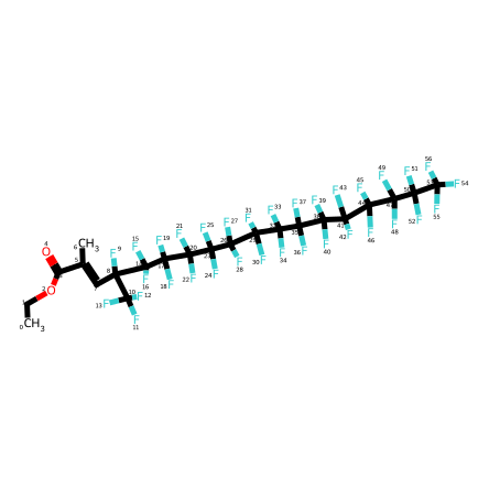 CCOC(=O)C(C)=CC(F)(C(F)(F)F)C(F)(F)C(F)(F)C(F)(F)C(F)(F)C(F)(F)C(F)(F)C(F)(F)C(F)(F)C(F)(F)C(F)(F)C(F)(F)C(F)(F)C(F)(F)C(F)(F)F